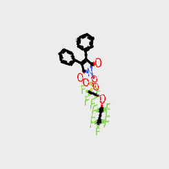 O=C1C(c2ccccc2)=C(c2ccccc2)C(=O)N1OS(=O)(=O)C(F)(F)C(F)(F)OC(F)(F)C(F)(F)F